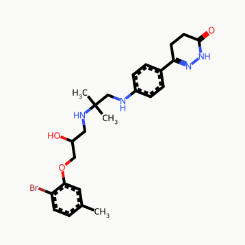 Cc1ccc(Br)c(OCC(O)CNC(C)(C)CNc2ccc(C3=NNC(=O)CC3)cc2)c1